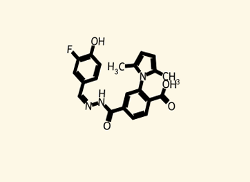 Cc1ccc(C)n1-c1cc(C(=O)N/N=C\c2ccc(O)c(F)c2)ccc1C(=O)O